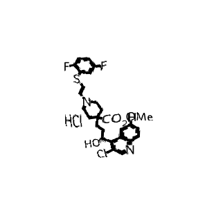 COc1ccc2ncc(Cl)c([C@H](O)CCC3(C(=O)O)CCN(CCSc4cc(F)ccc4F)CC3)c2c1.Cl